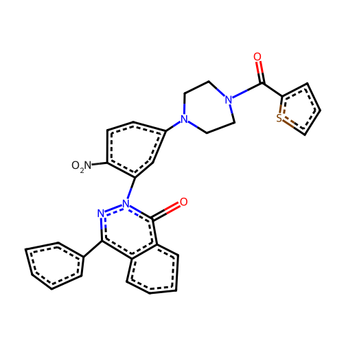 O=C(c1cccs1)N1CCN(c2ccc([N+](=O)[O-])c(-n3nc(-c4ccccc4)c4ccccc4c3=O)c2)CC1